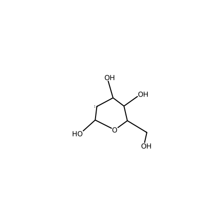 OCC1OC(O)[C]C(O)C1O